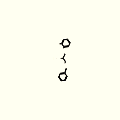 Cc1ccccc1OCC(O)COCc1ccccc1